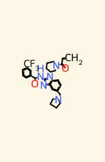 C=CC(=O)N1CCC[C@@H](n2c(NC(=O)c3cccc(C(F)(F)F)c3)nc3cc(CN4CCCC4)ccc32)C1